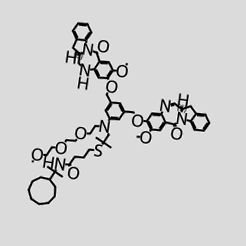 COCCOCCOCCN(CC(C)(C)SCCCC(=O)NC(C)(C)C1CCCCCCCC1)c1cc(COc2cc3c(cc2OC)C(=O)N2c4ccccc4C[C@H]2C=N3)cc(COc2cc3c(cc2OC)C(=O)N2c4ccccc4C[C@H]2CN3)c1